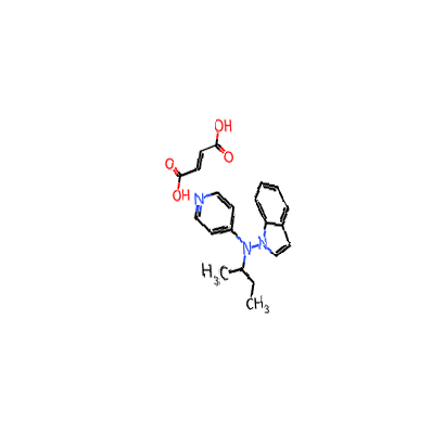 CCC(C)N(c1ccncc1)n1ccc2ccccc21.O=C(O)C=CC(=O)O